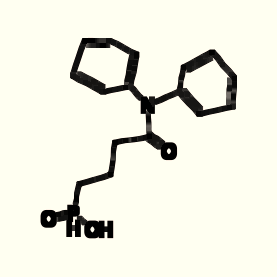 O=C(CCC[PH](=O)O)N(c1ccccc1)c1ccccc1